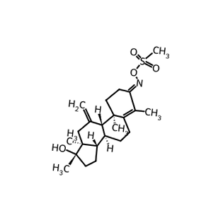 C=C1C[C@@]2(C)[C@@H](CC[C@]2(C)O)[C@@H]2CCC3=C(C)/C(=N/OS(C)(=O)=O)CC[C@]3(C)[C@@H]12